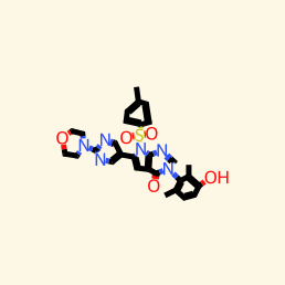 Cc1ccc(S(=O)(=O)n2c(-c3cnc(N4CCOCC4)nc3)cc3c(=O)n(-c4c(C)ccc(O)c4C)cnc32)cc1